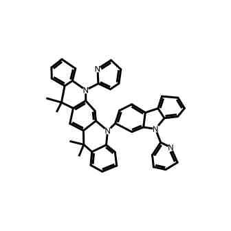 CC1(C)c2ccccc2N(c2ccc3c4ccccc4n(-c4ccccn4)c3c2)c2cc3c(cc21)C(C)(C)c1ccccc1N3c1ccccn1